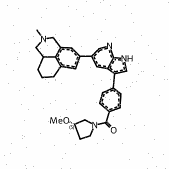 CO[C@H]1CCN(C(=O)c2ccc(-c3c[nH]c4ncc(-c5cc6c7c(c5)CN(C)CC7CCC6)cc34)cc2)C1